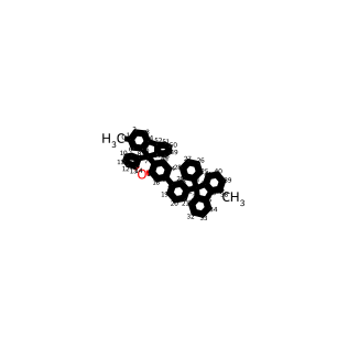 Cc1ccc2c(c1)C1(c3ccccc3Oc3cc(-c4cccc(C5(c6ccccc6)c6ccccc6-c6c(C)cccc65)c4)ccc31)c1ccccc1-2